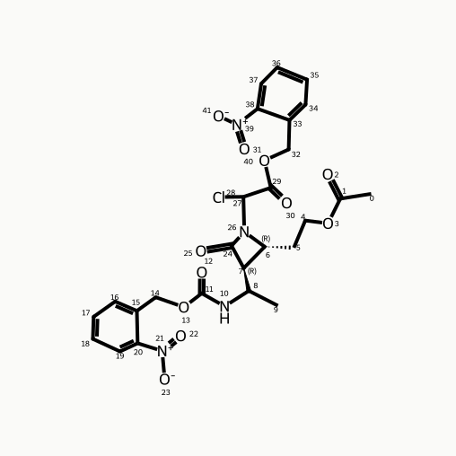 CC(=O)OCC[C@@H]1[C@@H](C(C)NC(=O)OCc2ccccc2[N+](=O)[O-])C(=O)N1C(Cl)C(=O)OCc1ccccc1[N+](=O)[O-]